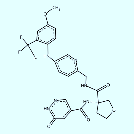 COc1ccc(Nc2ccc(CNC(=O)[C@]3(NC(=O)c4cn[nH]c(=O)c4)CCOC3)nc2)c(C(F)(F)F)c1